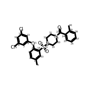 Cc1ccc(Oc2cc(Cl)cc(Cl)c2)c(S(=O)(=O)N2CCN(C(=O)c3ccccc3C)CC2)c1